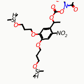 CC(OC(=O)ON1C(=O)CCC1=O)c1cc(OCCCO[SiH](C)C)c(OCCCO[SiH](C)C)cc1[N+](=O)[O-]